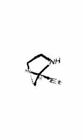 CC[C@@]12C[N@]1CCN2